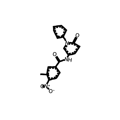 Cc1cc(C(=O)Nc2ccc(=O)n(-c3ccccc3)c2)ccc1[N+](=O)[O-]